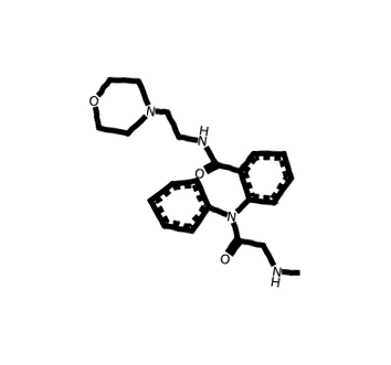 CNCC(=O)N(c1ccccc1)c1[c]cccc1C(=O)NCCN1CCOCC1